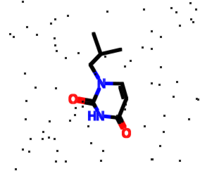 CC(C)Cn1ccc(=O)[nH]c1=O